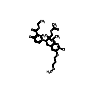 CCOC(=O)c1cn(C(Cc2cc(OCCCOC)c(Cl)nc2CC)C(C)(C)COC(C)=O)ccc1=O